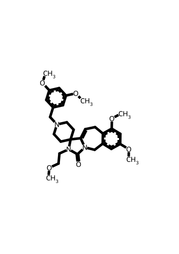 COCCN1C(=O)N2Cc3cc(OC)cc(OC)c3CC=C2C12CCN(Cc1cc(OC)cc(OC)c1)CC2